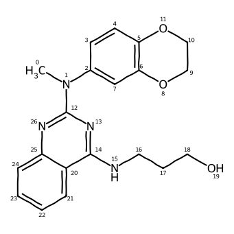 CN(c1ccc2c(c1)OCCO2)c1nc(NCCCO)c2ccccc2n1